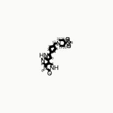 CN1C(=O)NCc2c1cnc1[nH]c(-c3ccc(CN4CCC(S(C)(=O)=O)CC4)cc3)cc21